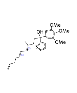 C=CCC/C=C/C=C(\C)CCC(O)(c1cc(OC)c(OC)c(OC)c1)c1cccs1